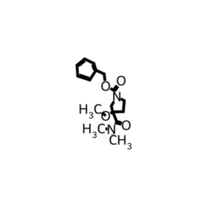 COC1(C(=O)N(C)C)CCN(C(=O)OCc2ccccc2)C1